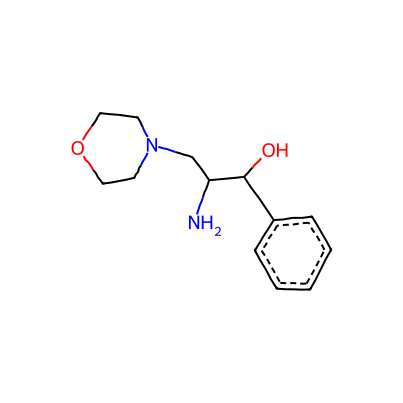 NC(CN1CCOCC1)C(O)c1ccccc1